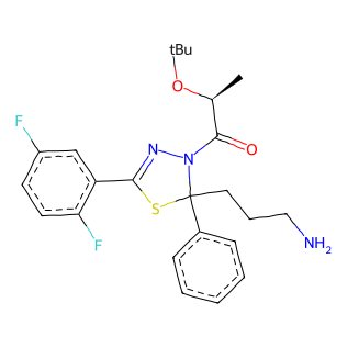 C[C@H](OC(C)(C)C)C(=O)N1N=C(c2cc(F)ccc2F)SC1(CCCN)c1ccccc1